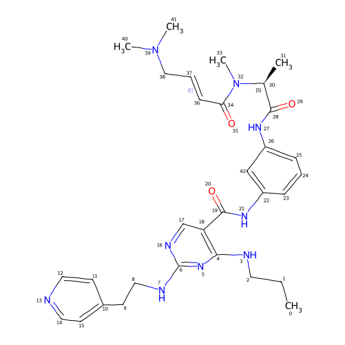 CCCNc1nc(NCCc2ccncc2)ncc1C(=O)Nc1cccc(NC(=O)[C@H](C)N(C)C(=O)/C=C/CN(C)C)c1